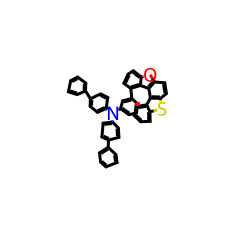 c1ccc(-c2ccc(N(c3ccc(-c4ccccc4)cc3)c3cccc(-c4cccc5oc6ccc7sc8ccccc8c7c6c45)c3)cc2)cc1